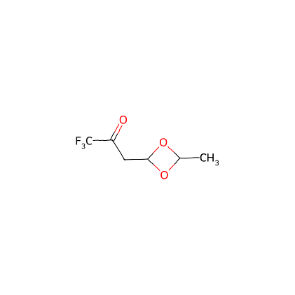 CC1OC(CC(=O)C(F)(F)F)O1